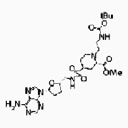 COC(=O)C1CC(S(=O)(=O)NC[C@@H]2CC[C@H](n3cnc4c(N)ncnc43)O2)CCN1CCNC(=O)OC(C)(C)C